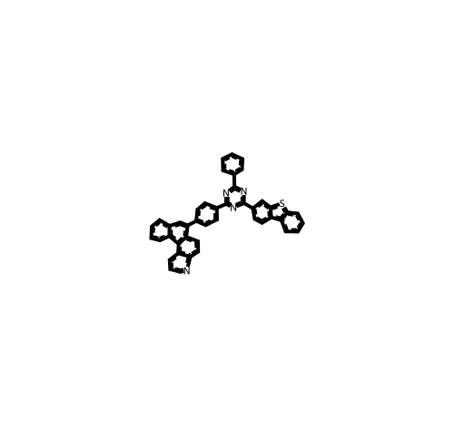 c1ccc(-c2nc(-c3ccc(-c4cc5ccccc5c5c4ccc4ncccc45)cc3)nc(-c3ccc4c(c3)sc3ccccc34)n2)cc1